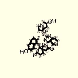 CCc1c(F)ccc2cc(O)cc(N3CC4(CCC3F)CC(=O)N(c3nc(OC[C@]56CCCN5C[C@@H](O)C6)nc5ccncc35)C4)c12